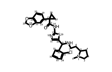 CN1CCCC1CCNC(c1cnc(NC(=O)C2(c3ccc4c(c3)OCO4)CC2)s1)c1ccccc1Cl